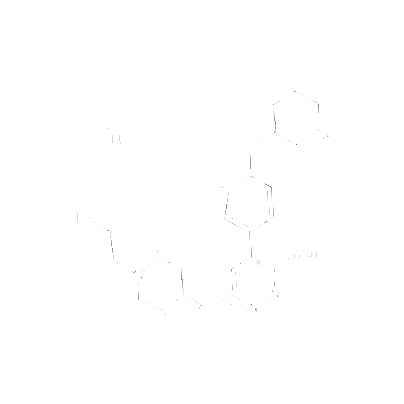 CCCCc1nnc(OC2CCN(CCO)CC2)cc1-c1ccc(OC2CCCCC2)cc1.Cl.Cl